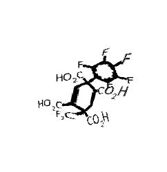 O=C(O)C1=CC(C(=O)O)(C(F)(F)F)C(C(=O)O)=CC1(C(=O)O)c1c(F)c(F)c(F)c(F)c1F